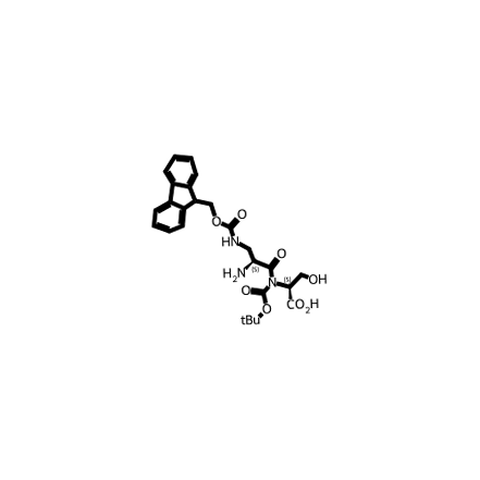 CC(C)(C)OC(=O)N(C(=O)[C@@H](N)CNC(=O)OCC1c2ccccc2-c2ccccc21)[C@@H](CO)C(=O)O